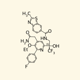 CCOc1c(CC(N)=O)cc([C@@](O)(CNC(=O)c2ccc3nc(C)sc3c2)C(F)(F)F)nc1-c1ccc(F)cc1